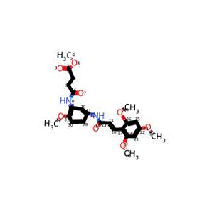 COC(=O)CCC(=O)Nc1cc(NC(=O)C=Cc2c(OC)cc(OC)cc2OC)ccc1OC